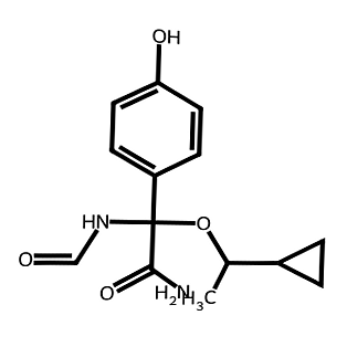 CC(OC(NC=O)(C(N)=O)c1ccc(O)cc1)C1CC1